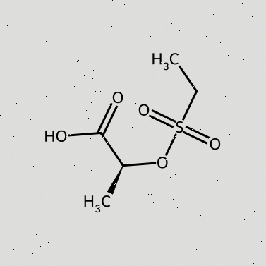 CCS(=O)(=O)O[C@@H](C)C(=O)O